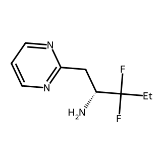 CCC(F)(F)[C@H](N)Cc1ncccn1